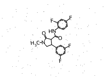 CN1CC(c2cc(F)cc(F)c2)C(C(=O)Nc2ccc(F)cc2F)C1=O